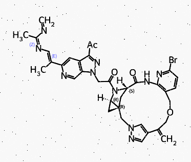 C=N/C(C)=N\C=C(/C)c1cc2c(C(C)=O)nn(CC(=O)N3[C@H]4C[C@]5(C[C@@H]35)Cn3cc(cn3)C(=C)COCc3ccc(Br)nc3NC4=O)c2cn1